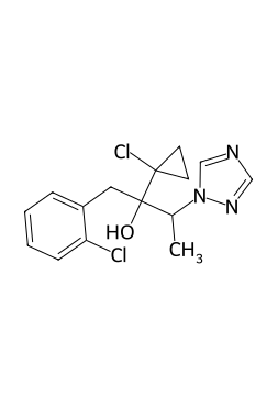 CC(n1cncn1)C(O)(Cc1ccccc1Cl)C1(Cl)CC1